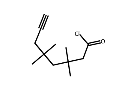 C#CCC(C)(C)CC(C)(C)CC(=O)Cl